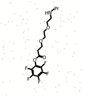 CC(C)NCCOCCOCCC(=O)Oc1c(F)c(F)c(F)c(F)c1F